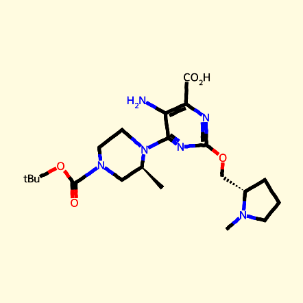 C[C@H]1CN(C(=O)OC(C)(C)C)CCN1c1nc(OC[C@@H]2CCCN2C)nc(C(=O)O)c1N